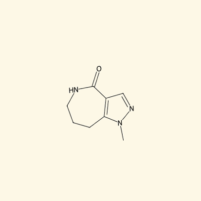 Cn1ncc2c1CCCNC2=O